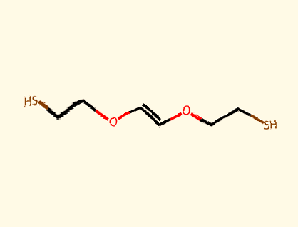 SCCO[C]=COCCS